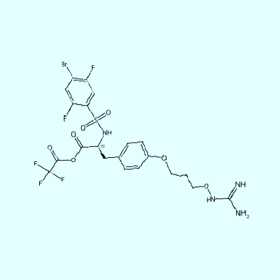 N=C(N)NOCCCOc1ccc(C[C@H](NS(=O)(=O)c2cc(F)c(Br)cc2F)C(=O)OC(=O)C(F)(F)F)cc1